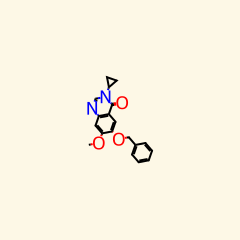 COc1cc2ncn(C3CC3)c(=O)c2cc1OCc1ccccc1